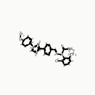 NC(=S)N(/N=C/c1ccc(-c2ncn(-c3ccc(OC(F)(F)F)cc3)n2)cc1)c1c(Cl)cccc1C(F)(F)F